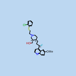 COc1ccc2nccc([C@H](F)CC[C@@H]3CCN(CCSc4ccccc4Cl)C[C@@H]3CO)c2c1